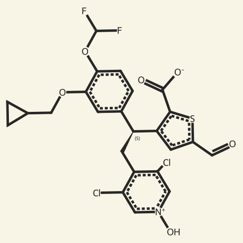 O=Cc1cc([C@@H](Cc2c(Cl)c[n+](O)cc2Cl)c2ccc(OC(F)F)c(OCC3CC3)c2)c(C(=O)[O-])s1